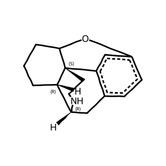 c1cc2c3cc1OC1CCC[C@H]4[C@@H](C2)NCC[C@]314